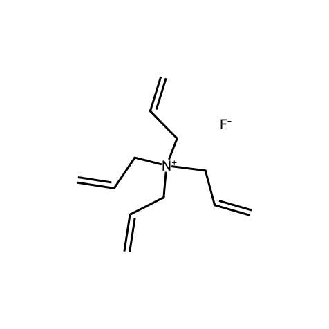 C=CC[N+](CC=C)(CC=C)CC=C.[F-]